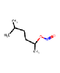 CC(C)CCC(C)ON=O